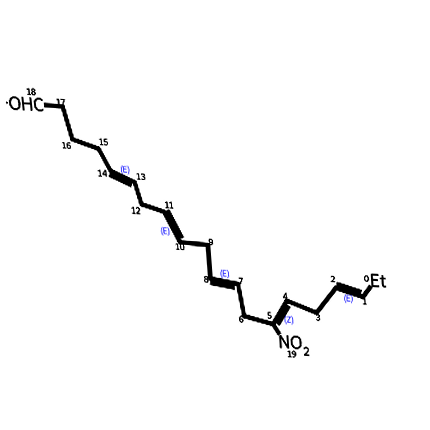 CC/C=C/C/C=C(/C/C=C/C/C=C/C/C=C/CCC[C]=O)[N+](=O)[O-]